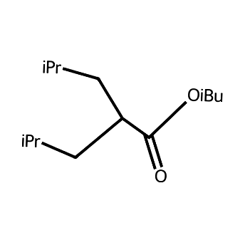 CC(C)COC(=O)C(CC(C)C)CC(C)C